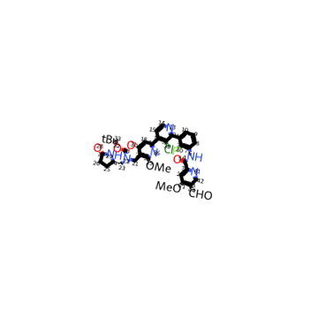 COc1cc(C(=O)Nc2cccc(-c3nccc(-c4ccc(CN(C[C@@H]5CCC(=O)N5)C(=O)OC(C)(C)C)c(OC)n4)c3Cl)c2F)ncc1C=O